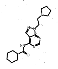 O=C(Nc1ncnc2c1cnn2CCN1CCCC1)C1CCCCC1